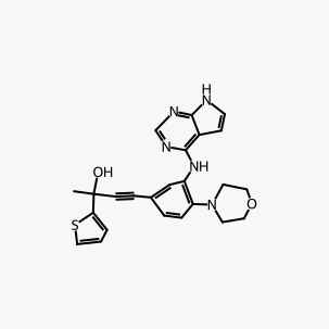 CC(O)(C#Cc1ccc(N2CCOCC2)c(Nc2ncnc3[nH]ccc23)c1)c1cccs1